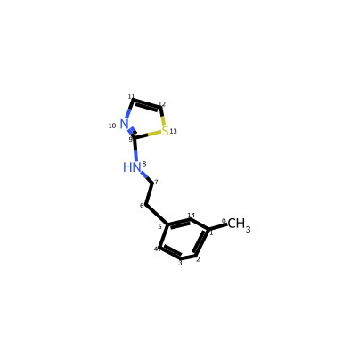 Cc1cc[c]c(CCNc2nccs2)c1